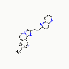 C=C/C=C\c1c(C)ccn2cc(CCc3ccc4ncccc4n3)nc12